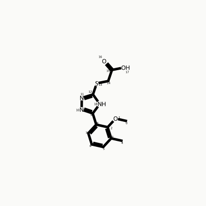 COc1c(C)cccc1-c1nnc(SCC(=O)O)[nH]1